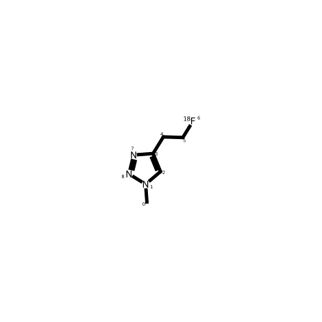 Cn1cc(CC[18F])nn1